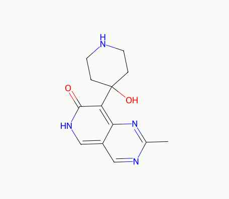 Cc1ncc2c[nH]c(=O)c(C3(O)CCNCC3)c2n1